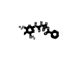 Cc1nc(NC(=O)NS(=O)(=O)OC(=O)c2ccccc2)nc(C)c1I